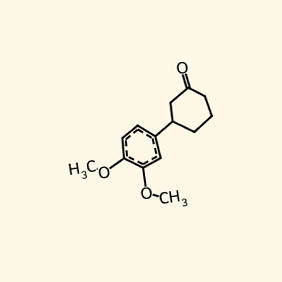 COc1ccc(C2CCCC(=O)C2)cc1OC